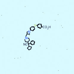 N#CC(c1ccccc1)(C1CCCC1)C1CCN(CC2CN(c3ccc(Sc4ccc(C(=O)O)cc4)cc3)C2)CC1